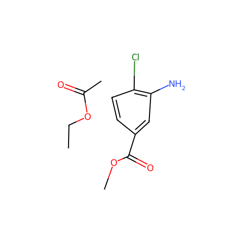 CCOC(C)=O.COC(=O)c1ccc(Cl)c(N)c1